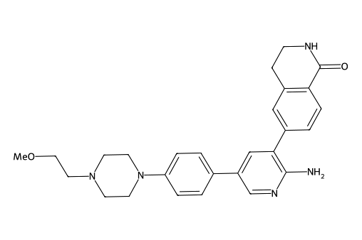 COCCN1CCN(c2ccc(-c3cnc(N)c(-c4ccc5c(c4)CCNC5=O)c3)cc2)CC1